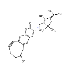 CC1(C)OC(=C(C#N)C#N)C(C#N)=C1/C=C/c1cc2cc3c(cc2oc1=O)C#CCC[S+]([O-])C3